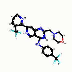 FC(F)(F)c1ccc(Nc2nc(CN3CCOCC3)nc3cc(-c4ncccc4C(F)(F)F)ncc23)cc1